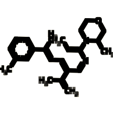 C=C(C)C(/C=N\C(=C\C)N1CCOCC1C)=C\C=C(/C)c1cccc(C)c1